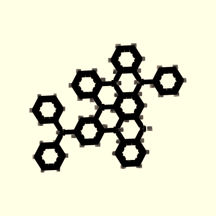 c1ccc(N(c2ccccc2)c2ccc3c(c2)N2c4ccccc4B4c5ccccc5N(c5ccccc5)c5cc6c(c2c54)B3c2ccccc2O6)cc1